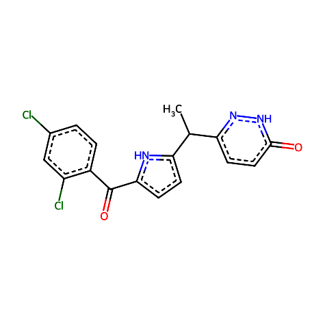 CC(c1ccc(=O)[nH]n1)c1ccc(C(=O)c2ccc(Cl)cc2Cl)[nH]1